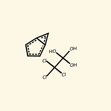 OC(O)(O)C(Cl)(Cl)Cl.c1cc2cc-2c1